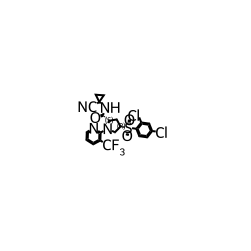 N#CC1(NC(=O)[C@@H]2C[C@@H](S(=O)(=O)c3ccc(Cl)cc3Cl)CN2c2ncccc2C(F)(F)F)CC1